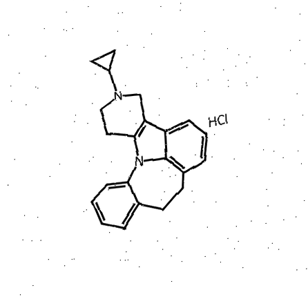 Cl.c1ccc2c(c1)CCc1cccc3c4c(n-2c13)CCN(C1CC1)C4